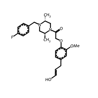 COc1cc(CC=CO)ccc1OCC(=O)N1C[C@@H](C)N(Cc2ccc(F)cc2)C[C@@H]1C